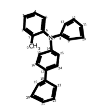 Cc1ccccc1N(c1ccccc1)c1ccc(-c2ccccc2)cc1